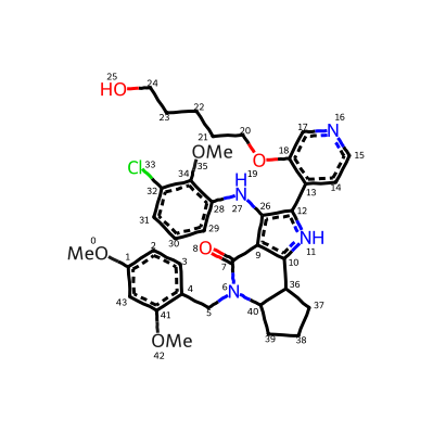 COc1ccc(CN2C(=O)c3c([nH]c(-c4ccncc4OCCCCCO)c3Nc3cccc(Cl)c3OC)C3CCCC32)c(OC)c1